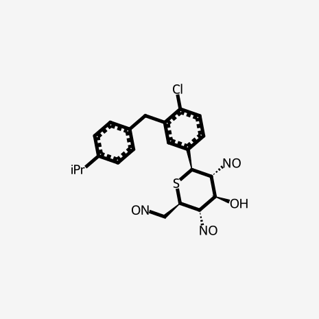 CC(C)c1ccc(Cc2cc([C@@H]3S[C@H](CN=O)[C@@H](N=O)[C@H](O)[C@H]3N=O)ccc2Cl)cc1